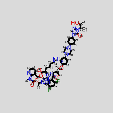 CC[C@@H]([C@H](C)O)n1ncn(-c2ccc(N3CCN(c4ccc(OC[C@@H]5CO[C@@](Cn6c[n+](C(C)OC(=O)N(C)c7ncccc7COC(=O)[C@@H](N)CCCCN)cn6)(c6ccc(F)cc6F)C5)cc4)CC3)cc2)c1=O